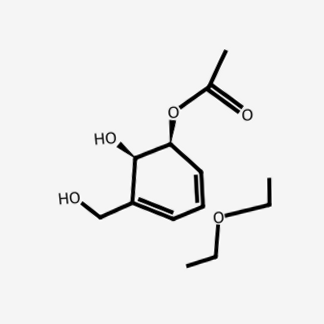 CC(=O)O[C@H]1C=CC=C(CO)[C@H]1O.CCOCC